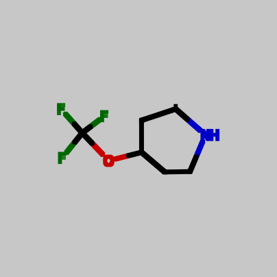 FC(F)(F)OC1C[CH]NCC1